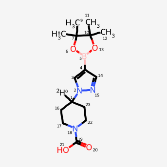 [2H]C1(n2cc(B3OC(C)(C)C(C)(C)O3)cn2)CCN(C(=O)O)CC1